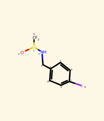 [O-][S+](NCc1ccc(I)cc1)C(F)(F)F